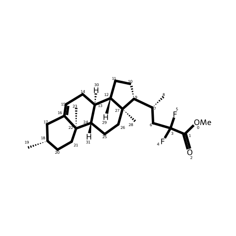 COC(=O)C(F)(F)C[C@@H](C)[C@H]1CC[C@H]2[C@@H]3CC=C4C[C@@H](C)CC[C@]4(C)[C@H]3CC[C@]12C